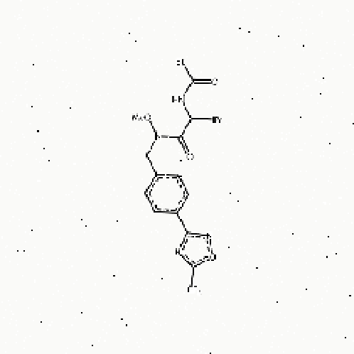 CCC(=O)NC(C(=O)N(Cc1ccc(-c2noc(C(F)(F)F)n2)cc1)OC)C(C)C